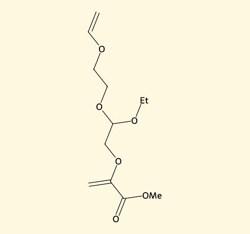 C=COCCOC(COC(=C)C(=O)OC)OCC